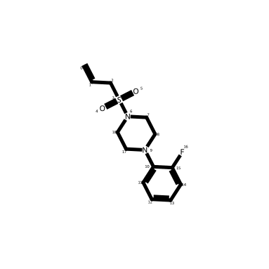 C=CCS(=O)(=O)N1CCN(c2ccccc2F)CC1